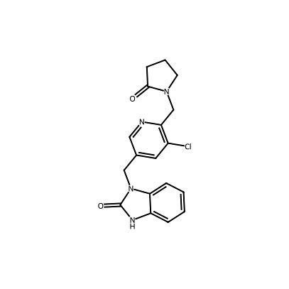 O=C1CCCN1Cc1ncc(Cn2c(=O)[nH]c3ccccc32)cc1Cl